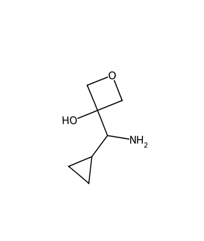 NC(C1CC1)C1(O)COC1